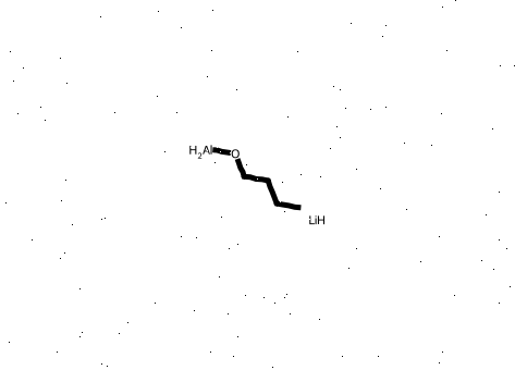 CCCC[O][AlH2].[LiH]